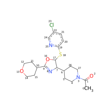 CC(=O)N1CCC(C2N=C(C3CCOCC3)OC2Sc2ccc(Cl)cn2)CC1